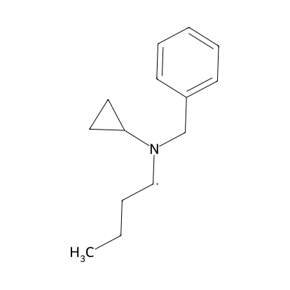 CCC[CH]N(Cc1ccccc1)C1CC1